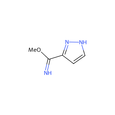 COC(=N)c1cc[nH]n1